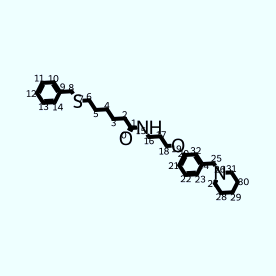 O=C(CCCCCSCc1ccccc1)NCCCOc1cccc(CN2CCCCC2)c1